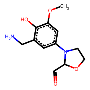 COc1cc(N2CCOC2C=O)cc(CN)c1O